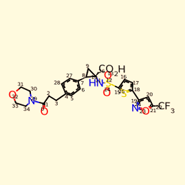 O=C(CCc1ccc([C@H]2C[C@@]2(NS(=O)(=O)c2ccc(-c3cc(C(F)(F)F)on3)s2)C(=O)O)cc1)N1CCOCC1